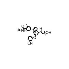 Cc1cc(-c2cnc3c(NCC(C)(C)O)cc(Oc4cccc(C#N)c4)nn23)ccc1C(=O)NC1CC1